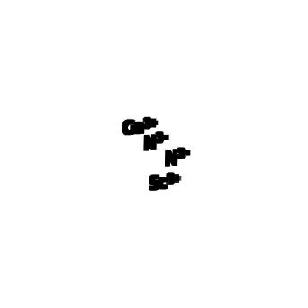 [Ga+3].[N-3].[N-3].[Sc+3]